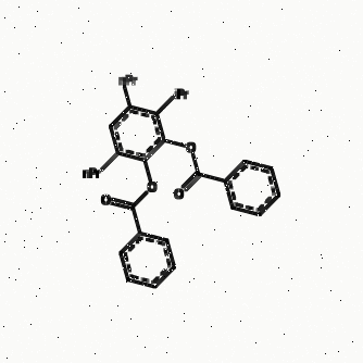 CCCc1cc(CCC)c(C(C)C)c(OC(=O)c2ccccc2)c1OC(=O)c1ccccc1